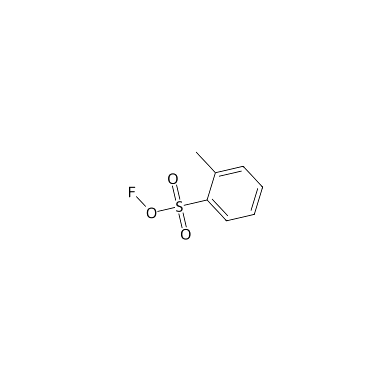 Cc1ccccc1S(=O)(=O)OF